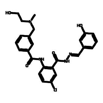 CN(CCO)Cc1cccc(C(=O)Nc2ccc(Cl)cc2C(=O)NN=Cc2cccc(O)c2)c1